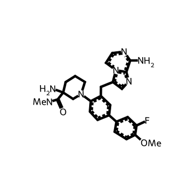 CNC(=O)C1(N)CCCN(c2ccc(-c3ccc(OC)c(F)c3)cc2Cc2cnc3c(N)nccn23)C1